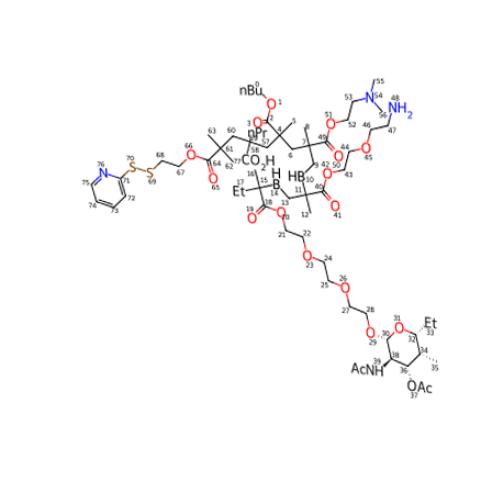 CCCCOC(=O)C(C)(CC(C)(CBC(C)(CBC(C)(CC)C(=O)OCCOCCOCCO[C@@H]1O[C@H](CC)[C@H](C)[C@H](OC(C)=O)[C@H]1NC(C)=O)C(=O)OCCOCCN)C(=O)OCCN(C)C)CC(CCC)(CC(C)(C)C(=O)OCCSSc1ccccn1)C(=O)O